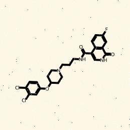 O=C(NCCCN1CCC(Oc2ccc(Cl)c(Cl)c2)CC1)c1c[nH]c(=O)c2cc(F)ccc12